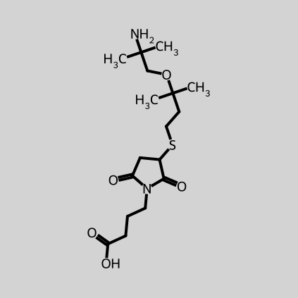 CC(C)(N)COC(C)(C)CCSC1CC(=O)N(CCCC(=O)O)C1=O